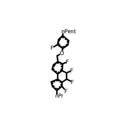 CCCCCc1ccc(OCc2ccc3c(c2F)C(F)C(F)c2c-3ccc(CCC)c2F)c(F)c1